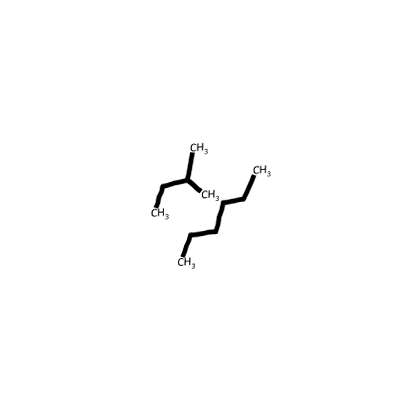 CCCCCC.CC[C](C)C